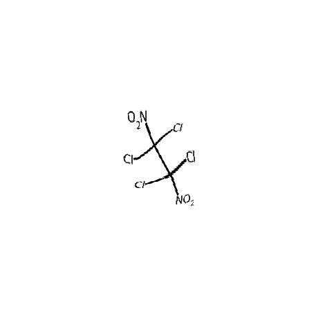 O=[N+]([O-])C(Cl)(Cl)C(Cl)(Cl)[N+](=O)[O-]